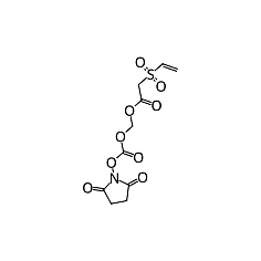 C=CS(=O)(=O)CC(=O)OCOC(=O)ON1C(=O)CCC1=O